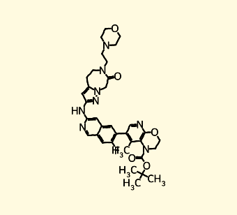 Cc1c(-c2cc3cc(Nc4cc5n(n4)CC(=O)N(CCN4CCOCC4)CC5)ncc3cc2F)cnc2c1N(C(=O)OC(C)(C)C)CCO2